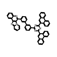 c1cc(-c2cccc(-c3nc4ccccc4c4nc5ccccn5c34)c2)cc(-c2nc(-c3cc4ccccc4c4ccccc34)nc(-c3cc4ccccc4c4ccccc34)n2)c1